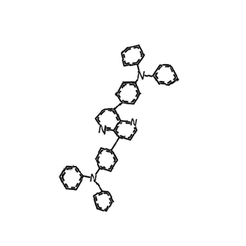 c1ccc(N(c2ccccc2)c2ccc(-c3ccnc4c(-c5ccc(N(c6ccccc6)c6ccccc6)cc5)ccnc34)cc2)cc1